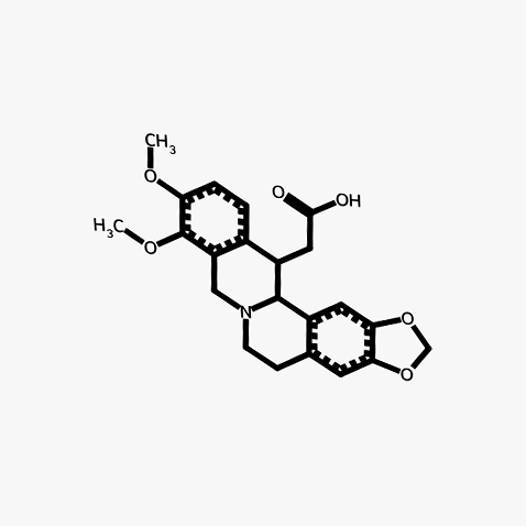 COc1ccc2c(c1OC)CN1CCc3cc4c(cc3C1C2CC(=O)O)OCO4